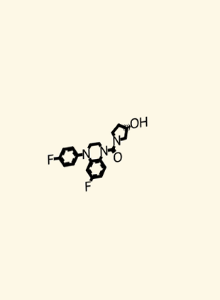 O=C(N1CC[C@@H](O)C1)N1CCN(c2ccc(F)cc2)c2cc(F)ccc21